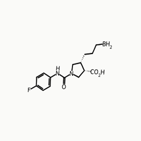 BCCC[C@H]1CN(C(=O)Nc2ccc(F)cc2)C[C@H]1C(=O)O